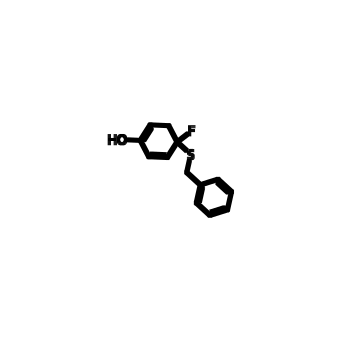 OC1=CCC(F)(SCc2ccccc2)C=C1